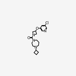 O=C(N1CCCN(C2CCC2)CC1)N1CC(Oc2cncc(Cl)c2)C1